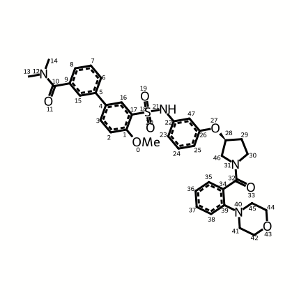 COc1ccc(-c2cccc(C(=O)N(C)C)c2)cc1S(=O)(=O)Nc1cccc(O[C@H]2CCN(C(=O)c3ccccc3N3CCOCC3)C2)c1